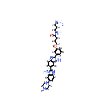 CN1CCN(c2ccc3nc(-c4ccc5nc(-c6cccc(OCCCC(=O)NCCCN)c6)[nH]c5c4)[nH]c3c2)CC1